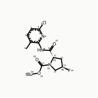 Cc1ccc(Cl)nc1NC(=O)[C@@H]1C[C@@H](F)CN1C(=O)OC(C)(C)C